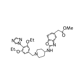 CCOc1cc(CN2CCC(Nc3nc4cc(CC(=O)OC)ccc4o3)CC2)cc(OCC)c1-n1cncn1